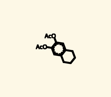 CC(=O)Oc1cc2c(cc1OC(C)=O)CCCC2